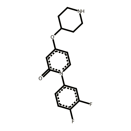 O=c1cc(OC2CCNCC2)ccn1-c1ccc(F)c(F)c1